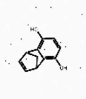 Oc1ccc(O)c2c1C1C=CC2C1